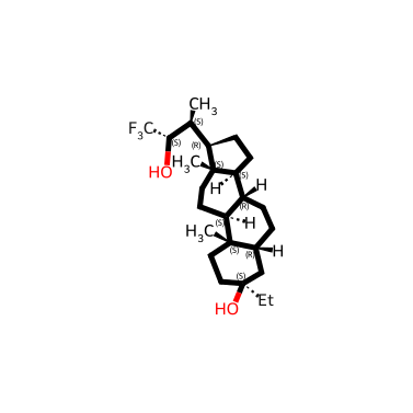 CC[C@]1(O)CC[C@@]2(C)[C@H](CC[C@@H]3[C@@H]2CC[C@]2(C)[C@@H]([C@H](C)[C@H](O)C(F)(F)F)CC[C@@H]32)C1